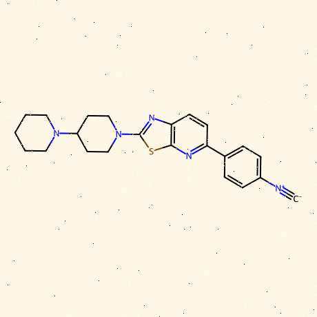 [C-]#[N+]c1ccc(-c2ccc3nc(N4CCC(N5CCCCC5)CC4)sc3n2)cc1